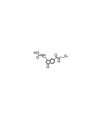 COCCNC(=O)c1ccc2[nH]cc(CCNC(=O)O)c2c1